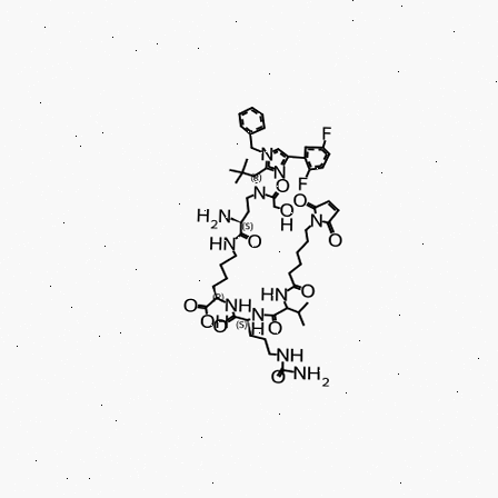 CC(C)C(NC(=O)CCCCCN1C(=O)C=CC1=O)C(=O)N[C@@H](CCCNC(N)=O)C(=O)N[C@H](CCCCNC(=O)[C@@H](N)CCN(C(=O)CO)[C@@H](c1nc(-c2cc(F)ccc2F)cn1Cc1ccccc1)C(C)(C)C)C(=O)O